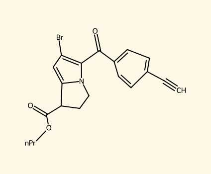 C#Cc1ccc(C(=O)c2c(Br)cc3n2CCC3C(=O)OCCC)cc1